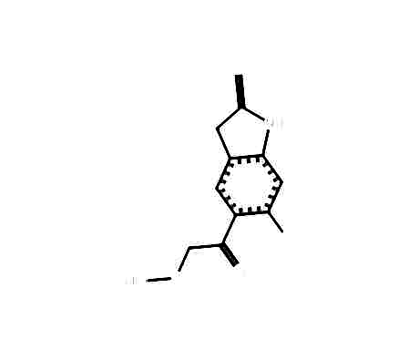 C=C1Cc2cc(C(=O)CSCCCC)c(Cl)cc2N1